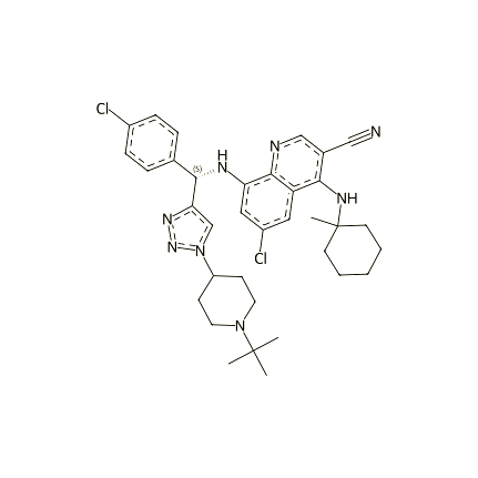 CC1(Nc2c(C#N)cnc3c(N[C@@H](c4ccc(Cl)cc4)c4cn(C5CCN(C(C)(C)C)CC5)nn4)cc(Cl)cc23)CCCCC1